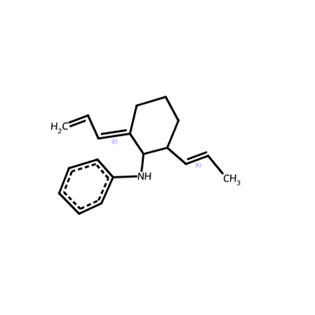 C=C/C=C1\CCCC(/C=C/C)C1Nc1ccccc1